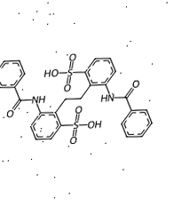 O=C(Nc1cccc(S(=O)(=O)O)c1CCc1c(NC(=O)c2ccccc2)cccc1S(=O)(=O)O)c1ccccc1